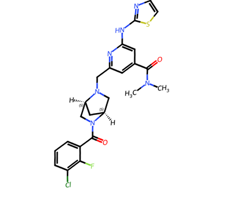 CN(C)C(=O)c1cc(CN2C[C@@H]3C[C@H]2CN3C(=O)c2cccc(Cl)c2F)nc(Nc2nccs2)c1